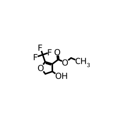 CCOC(=O)C1=C(C(F)(F)F)OCC1O